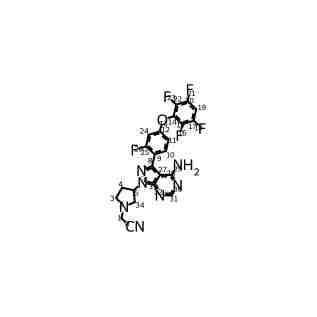 N#CCN1CCC(n2nc(-c3ccc(Oc4c(F)c(F)cc(F)c4F)cc3F)c3c(N)ncnc32)C1